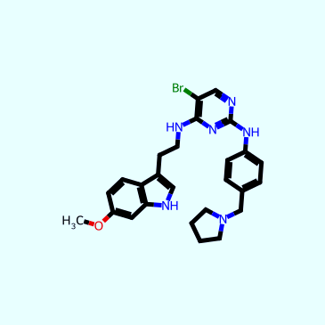 COc1ccc2c(CCNc3nc(Nc4ccc(CN5CCCC5)cc4)ncc3Br)c[nH]c2c1